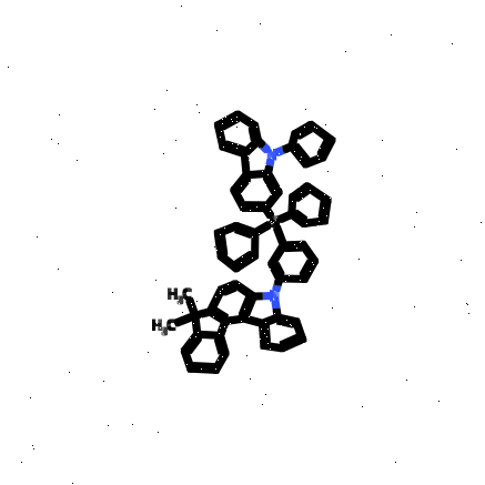 CC1(C)c2ccccc2-c2c1ccc1c2c2ccccc2n1-c1cccc([Si](c2ccccc2)(c2ccccc2)c2ccc3c4ccccc4n(-c4ccccc4)c3c2)c1